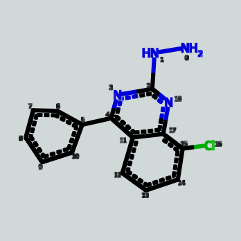 NNc1nc(-c2ccccc2)c2cccc(Cl)c2n1